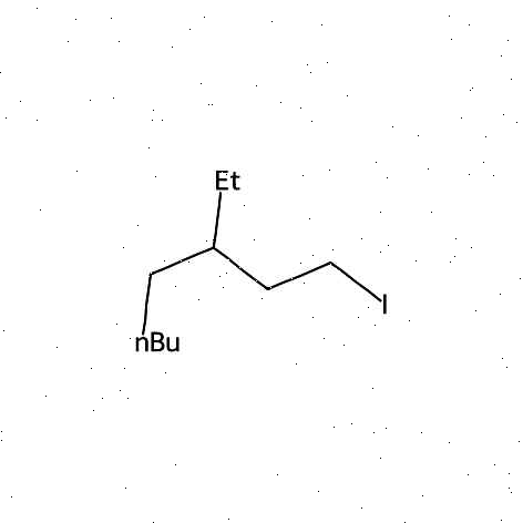 CCCCCC(CC)CCI